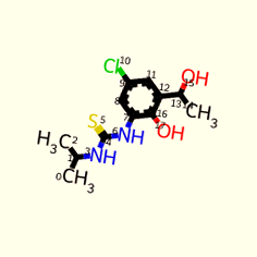 CC(C)NC(=S)Nc1cc(Cl)cc(C(C)O)c1O